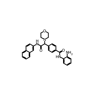 Nc1ccccc1NC(=O)c1ccc(C(C(=O)Nc2ccc3ccccc3c2)N2CCOCC2)cc1